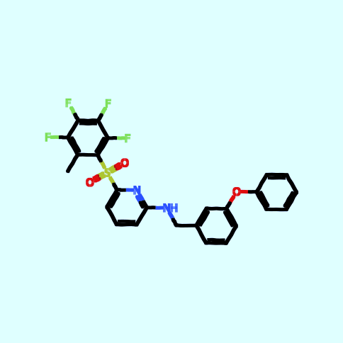 Cc1c(F)c(F)c(F)c(F)c1S(=O)(=O)c1cccc(NCc2cccc(Oc3ccccc3)c2)n1